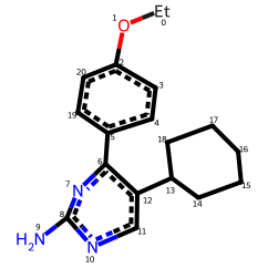 CCOc1ccc(-c2nc(N)ncc2C2CCCCC2)cc1